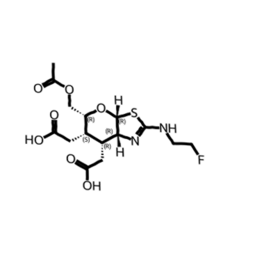 CC(=O)OC[C@@H]1O[C@@H]2SC(NCCF)=N[C@@H]2[C@H](CC(=O)O)[C@@H]1CC(=O)O